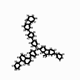 CC1(C)c2cc(-c3ccccc3)ccc2-c2ccc(N(c3ccc(-c4ccc(-c5ccc6sc7ccccc7c6c5)cc4)cc3)c3ccc(-c4cccc5c(-c6ccccc6)cccc45)cc3)cc21